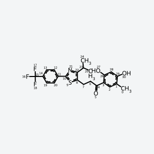 Cc1cc(C(=O)CCc2sc(-c3ccc(C(F)(F)F)cc3)nc2C(C)C)c(O)cc1O